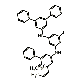 C=C/C(=C\C(=C/C(C)/C=C\C)Nc1cc(Cl)cc(Nc2cc(-c3ccccc3)cc(-c3ccccc3)c2)c1)c1ccccc1